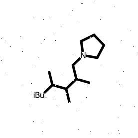 CCC(C)C(C)C(C)C(C)CN1CCCC1